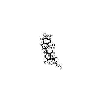 C=C=C[C@]1(OC)CC[C@H]2[C@@H]3CCC4=C(CC=C(OC)C4)[C@@]3(C)CC[C@@]21C